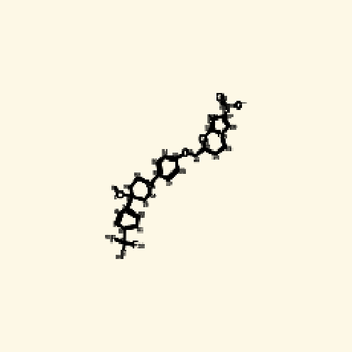 COC1(c2ccc(C(F)(F)F)cc2)CCN(c2ccc(OCC3CCn4cc([N+](=O)[O-])nc4O3)cc2)CC1